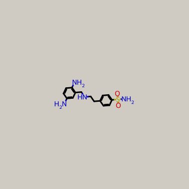 Nc1ccc(N)c(CNCCc2ccc(S(N)(=O)=O)cc2)c1